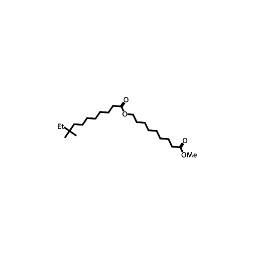 CCC(C)(C)CCCCCCCC(=O)OCCCCCCCCC(=O)OC